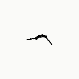 CCCCCCCCCCCCOc1ccc(SOCOSc2ccc(OCCCCCCCCCCCC)cc2)cc1